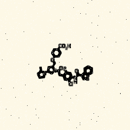 CC1CCCN1[C@H]1C[C@@H](CO[C@H]2CC[C@H](C(=O)O)CC2)N(C(=O)Cc2cc(Cl)c(NC(=O)c3csc4ccccc34)cc2F)C1